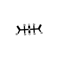 C=C(Br)C(Br)(Br)S(=O)(=O)C(Br)(Br)C(=C)Br